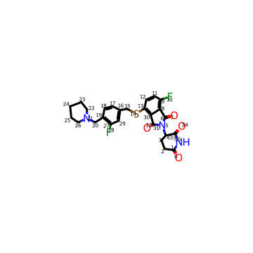 O=C1CCC(N2C(=O)c3c(F)ccc(SCc4ccc(CN5CCCCC5)c(F)c4)c3C2=O)C(=O)N1